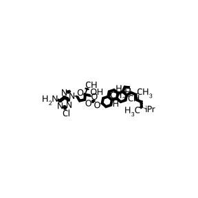 C#C[C@]1(CO)O[C@@H](n2cnc3c(N)nc(Cl)nc32)C[C@@H]1OC(=O)O[C@H]1CC[C@@]2(C)C(=CC[C@H]3[C@@H]4CC[C@H]([C@H](C)CC[C@@H](C)C(C)C)[C@@]4(C)CC[C@@H]32)C1